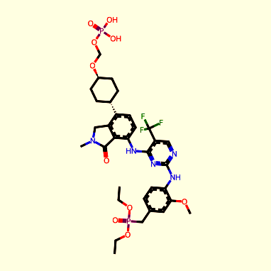 CCOP(=O)(Cc1ccc(Nc2ncc(C(F)(F)F)c(Nc3ccc([C@H]4CC[C@H](OCOP(=O)(O)O)CC4)c4c3C(=O)N(C)C4)n2)c(OC)c1)OCC